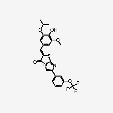 COc1cc(/C=c2\sc3nc(-c4cccc(OC(F)(F)F)c4)cn3c2=O)cc(OC(C)C)c1O